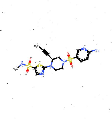 CC#C[C@H]1CN(S(=O)(=O)c2ccc(N)nc2)CCN1c1ncc(S(=O)(=O)NC)s1